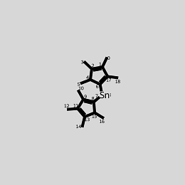 CC1=C(C)C(C)[C]([Sn][C]2=C(C)C(C)=C(C)C2C)=C1C